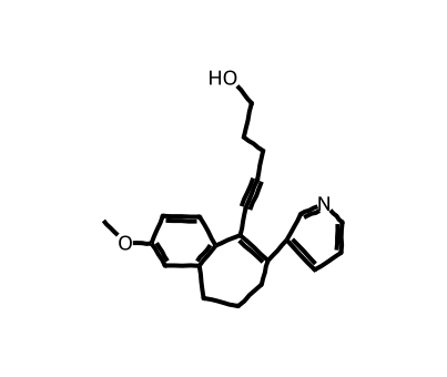 COc1ccc2c(c1)CCCC(c1cccnc1)=C2C#CCCCO